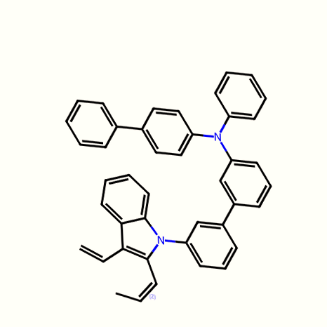 C=Cc1c(/C=C\C)n(-c2cccc(-c3cccc(N(c4ccccc4)c4ccc(-c5ccccc5)cc4)c3)c2)c2ccccc12